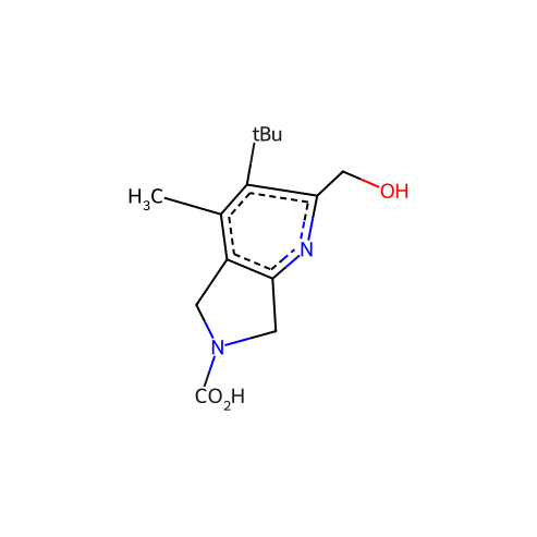 Cc1c2c(nc(CO)c1C(C)(C)C)CN(C(=O)O)C2